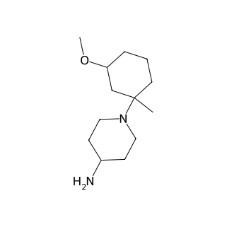 COC1CCCC(C)(N2CCC(N)CC2)C1